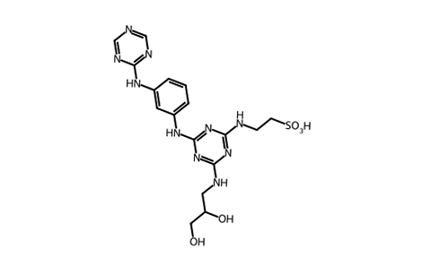 O=S(=O)(O)CCNc1nc(NCC(O)CO)nc(Nc2cccc(Nc3ncncn3)c2)n1